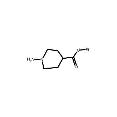 CCOC(=O)C1CCN(N)CC1